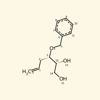 C=CC[C@H](OCc1ccccc1)[C@H](O)CO